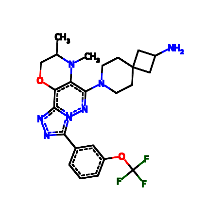 CC1COc2c(c(N3CCC4(CC3)CC(N)C4)nn3c(-c4cccc(OC(F)(F)F)c4)nnc23)N1C